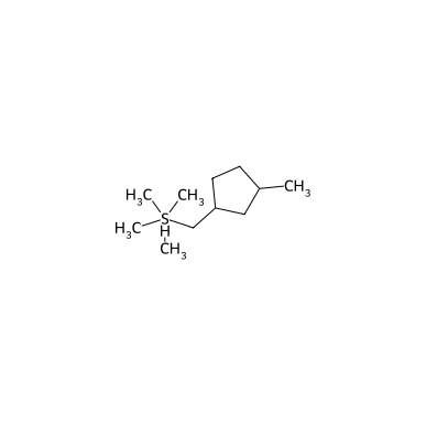 CC1CCC(C[SH](C)(C)(C)C)C1